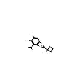 Cc1cc2c(c(C(F)F)c1F)n1n2C1C1(O)CCC1